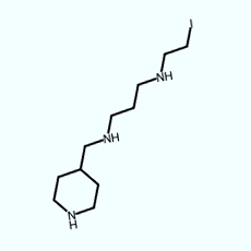 ICCNCCCNCC1CCNCC1